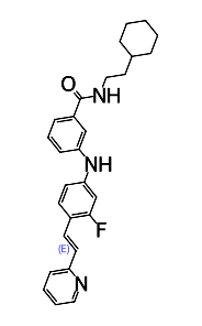 O=C(NCCC1CCCCC1)c1cccc(Nc2ccc(/C=C/c3ccccn3)c(F)c2)c1